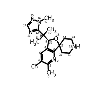 Cc1nc2c(cc1Cl)[C@@H](C(C)(C)c1ncnn1C)OC21CCNCC1